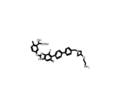 COC(O)c1cc(Oc2nc3c(F)c(-c4ccc(-c5ccc(CN6CC(OCCN)C6)cc5)cc4)c(F)cc3[nH]2)ccc1C